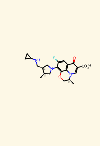 C[C@@H]1CN(c2c(F)cc3c(=O)c(C(=O)O)cn4c3c2OC[C@@H]4C)C[C@@H]1CNC1CC1